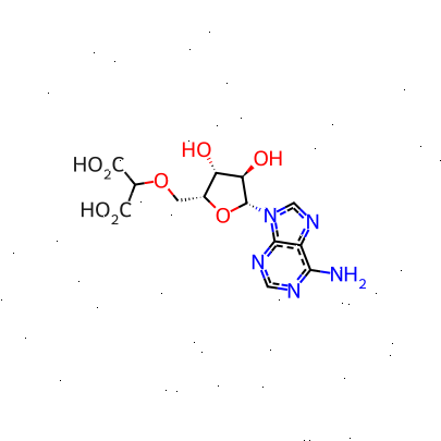 Nc1ncnc2c1ncn2[C@@H]1O[C@H](COC(C(=O)O)C(=O)O)[C@H](O)[C@H]1O